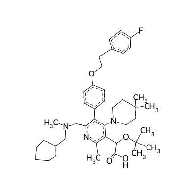 Cc1nc(CN(C)CC2CCCCC2)c(-c2ccc(OCCc3ccc(F)cc3)cc2)c(N2CCC(C)(C)CC2)c1C(OC(C)(C)C)C(=O)O